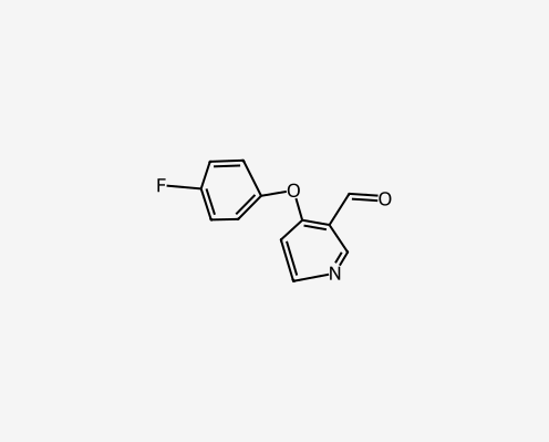 O=Cc1cnccc1Oc1ccc(F)cc1